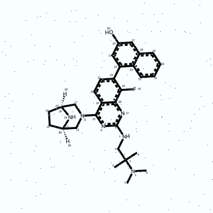 CN(C)C(C)(C)CNc1nc(N2C[C@H]3CC[C@@H](C2)N3)c2ccc(-c3cc(O)cc4ccccc34)c(F)c2n1